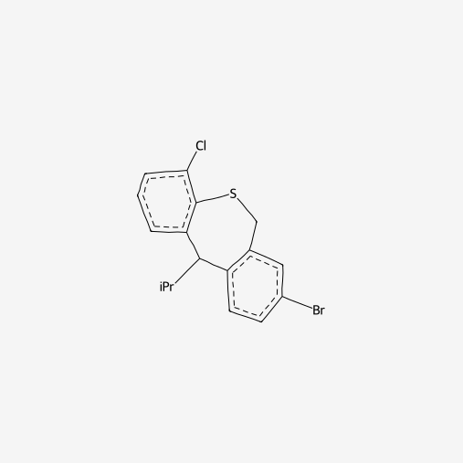 CC(C)C1c2ccc(Br)cc2CSc2c(Cl)cccc21